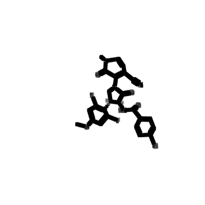 COc1cc(F)c([C@@H]2CN(c3c(C#N)ccn(C)c3=O)C(=O)[C@H]2NC(=O)c2ccc(Cl)cc2)c(F)c1